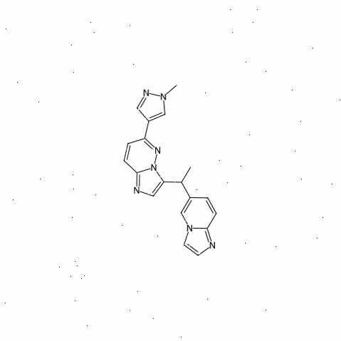 CC(c1ccc2nccn2c1)c1cnc2ccc(-c3cnn(C)c3)nn12